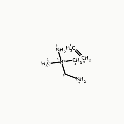 C=C.C[N+](C)(N)CN